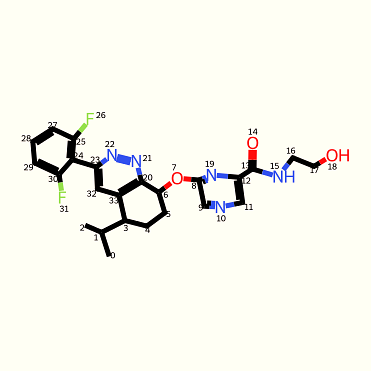 CC(C)C1CCC(Oc2cncc(C(=O)NCCO)n2)c2nnc(-c3c(F)cccc3F)cc21